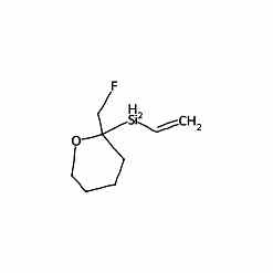 C=C[SiH2]C1(CF)CCCCO1